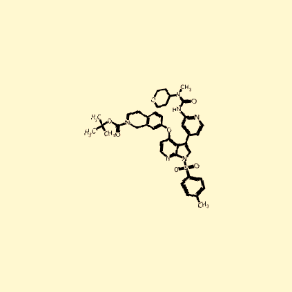 Cc1ccc(S(=O)(=O)n2cc(-c3ccnc(NC(=O)N(C)C4CCOCC4)c3)c3c(Oc4ccc5c(c4)CN(C(=O)OC(C)(C)C)CC5)ccnc32)cc1